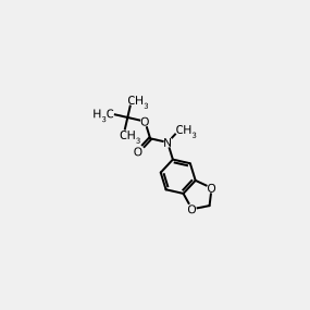 CN(C(=O)OC(C)(C)C)c1ccc2c(c1)OCO2